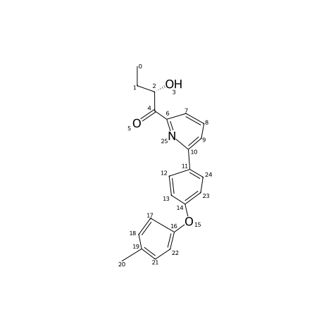 CC[C@H](O)C(=O)c1cccc(-c2ccc(Oc3ccc(C)cc3)cc2)n1